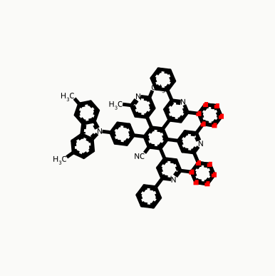 Cc1ccc2c(c1)c1cc(C)ccc1n2-c1ccc(-c2c(C#N)c(-c3cc(-c4ccccc4)nc(-c4ccccc4)c3)c(-c3cc(-c4ccccc4)nc(-c4ccccc4)c3)c(-c3cc(-c4ccccc4)nc(-c4ccccc4)c3)c2-c2cc(C)nc(C)c2)cc1